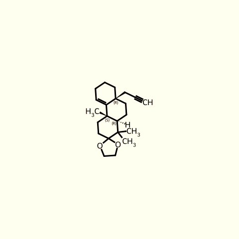 C#CC[C@]12CCCC=C1[C@@]1(C)CCC3(OCCO3)C(C)(C)[C@@H]1CC2